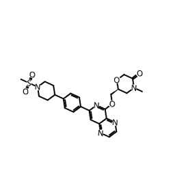 CN1C[C@@H](COc2nc(-c3ccc(C4CCN(S(C)(=O)=O)CC4)cc3)cc3nccnc23)OCC1=O